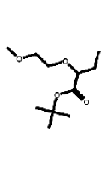 [CH2]CC(OCCOC)C(=O)OC(C)(C)C